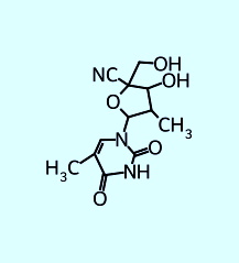 Cc1cn(C2OC(C#N)(CO)C(O)C2C)c(=O)[nH]c1=O